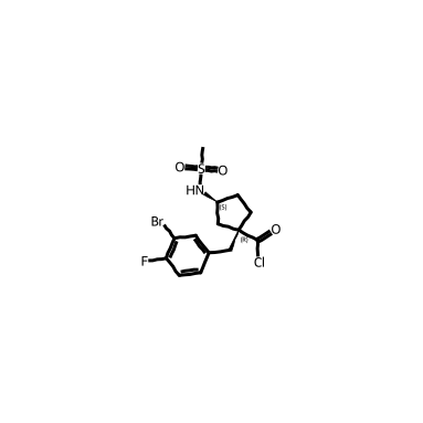 CS(=O)(=O)N[C@H]1CC[C@](Cc2ccc(F)c(Br)c2)(C(=O)Cl)C1